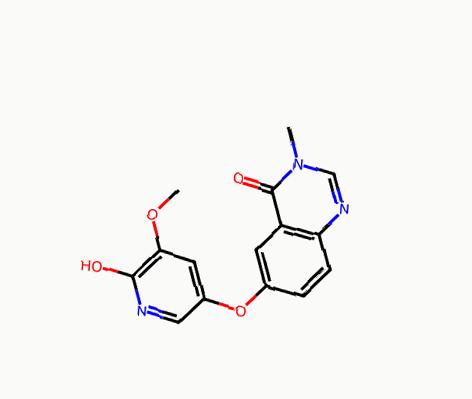 COc1cc(Oc2ccc3ncn(C)c(=O)c3c2)cnc1O